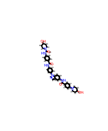 O=C(Nc1ccc(-n2ncc3cc(NC(=O)c4ccc(N5CCC(O)CC5)cc4)ccc32)cc1)c1ccc(NC(=O)N2CCC(O)CC2)cc1